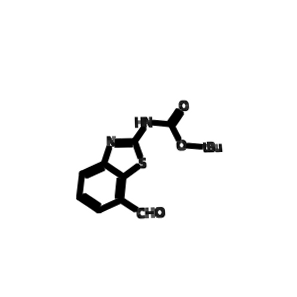 CC(C)(C)OC(=O)Nc1nc2cccc(C=O)c2s1